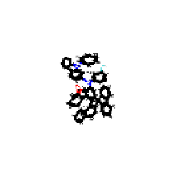 Fc1cccc(N(c2ccc3c4ccccc4n(-c4ccccc4)c3c2)c2cc3c(c4c2oc2ccccc24)-c2c(ccc4ccccc24)C3(c2ccccc2)c2ccccc2)c1